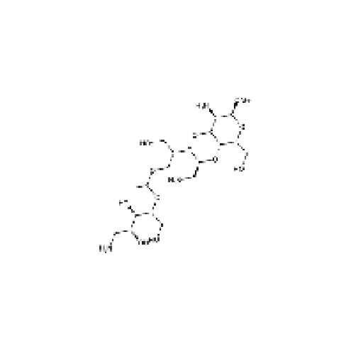 CO[C@H]1OC(CO)[C@H](O[C@@H](CN)OC(CO)COC(C)OC(CO)[C@H](O)[C@@H](O)CN)C(O)[C@H]1N